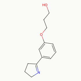 OCCCOc1cccc(C2=NCCC2)c1